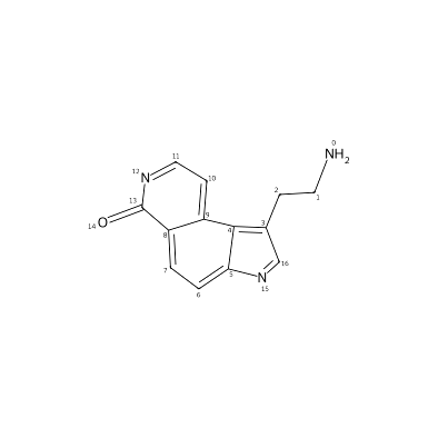 NCCC1=c2c(ccc3c2=CC=NC3=O)N=C1